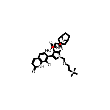 C[Si](C)(C)CCOCn1cc(-c2ccc3ccc(=O)[nH]c3c2Cl)c2ncc(N3C4CCC3CC(NC(=O)O)C4)nc21